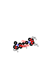 Cc1ccc(-c2ccccc2N(c2ccc(C3=C(O)C(c4ccc(N(c5ccccc5-c5ccc(C)cc5)c5ccccc5-c5ccc(C)cc5)cc4O)=C3O)c(O)c2)c2ccccc2-c2ccc(C)cc2)cc1